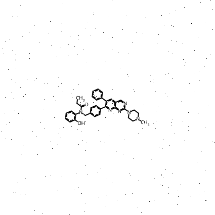 CCC(=O)N(Cc1ccc(-c2nc3nc(N4CCN(C)CC4)ncc3cc2-c2ccccc2)cc1)c1ccccc1O